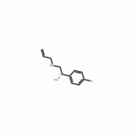 C=CCNC[C@@H](O)c1ccc(Cl)cc1